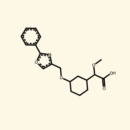 COC(C(=O)O)C1CCCC(OCc2coc(-c3ccccc3)n2)C1